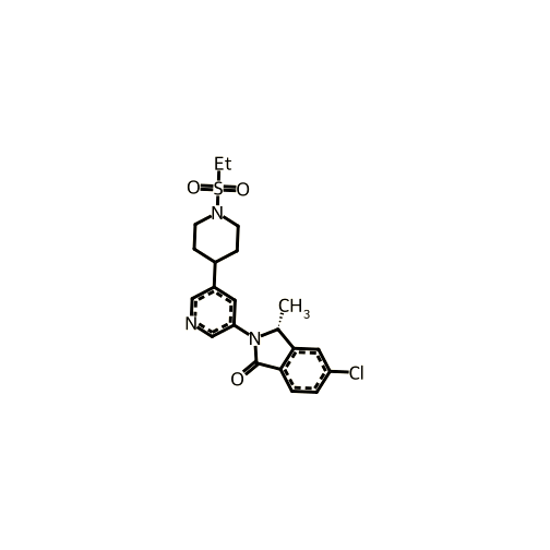 CCS(=O)(=O)N1CCC(c2cncc(N3C(=O)c4ccc(Cl)cc4[C@H]3C)c2)CC1